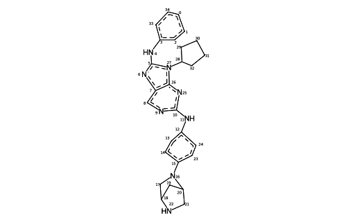 c1ccc(Nc2nc3cnc(Nc4ccc(N5CC6CC5CN6)cc4)nc3n2C2CCCC2)cc1